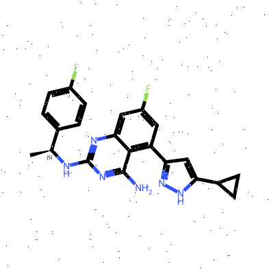 C[C@H](Nc1nc(N)c2c(-c3cc(C4CC4)[nH]n3)cc(F)cc2n1)c1ccc(F)cc1